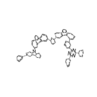 c1ccc(-c2ccc3c(c2)c2ccccc2n3-c2ccc3oc4ccc(-c5cccc(-c6ccc7oc8cccc(-c9cccc(-c%10nc(-c%11ccccc%11)nc(-c%11ccccc%11)n%10)c9)c8c7c6)c5)cc4c3c2)cc1